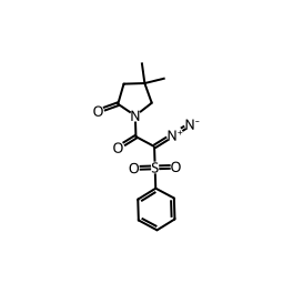 CC1(C)CC(=O)N(C(=O)C(=[N+]=[N-])S(=O)(=O)c2ccccc2)C1